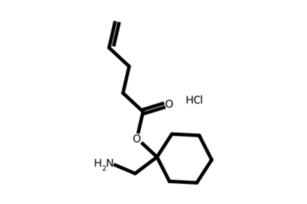 C=CCCC(=O)OC1(CN)CCCCC1.Cl